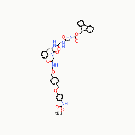 CC(C)(C)OC(=O)Nc1ccc(OCc2ccc(COCNC(=O)CNC(=O)[C@H](Cc3ccccc3)NC(=O)CNC(=O)CNC(=O)OCC3c4ccccc4-c4ccccc43)cc2)cc1